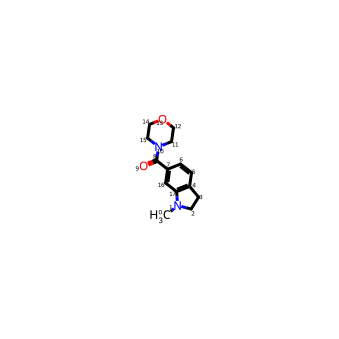 CN1CCc2ccc(C(=O)N3CCOCC3)cc21